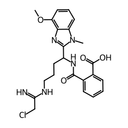 COc1cccc2c1nc(C(CCCNC(=N)CCl)NC(=O)c1ccccc1C(=O)O)n2C